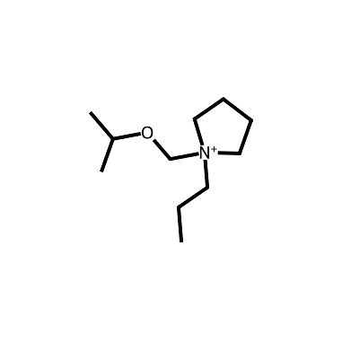 CCC[N+]1(COC(C)C)CCCC1